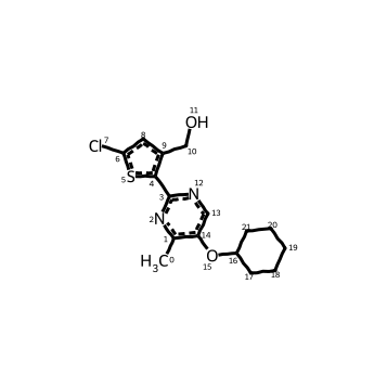 Cc1nc(-c2sc(Cl)cc2CO)ncc1OC1CCCCC1